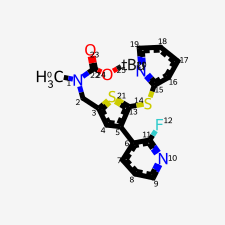 CN(Cc1cc(-c2cccnc2F)c(Sc2ccccn2)s1)C(=O)OC(C)(C)C